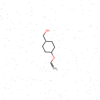 C=COC1CCC(CO)CC1